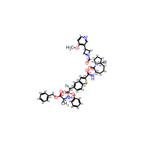 COc1ccncc1C1CN(C(=O)[C@@H]2CC[C@@H]3CCC[C@H](NC(=O)c4cc5cc([C@@H](F)[P@@](=O)(N[C@@H](C)C(=O)OCc6ccccc6)Oc6ccccc6)ccc5s4)C(=O)N32)C1